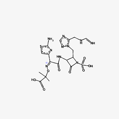 CC(C)(O/N=C(\C(=O)NC1C(=O)N(S(=O)(=O)O)C1Cn1ncnc1CNC=N)c1csc(N)n1)C(=O)O